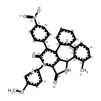 COc1ccc(-n2c3c(c(-c4ccccc4O)c(-c4ccc([N+](=O)[O-])cc4)c2=O)C(c2c(C)cccc2C)NC3=O)cc1